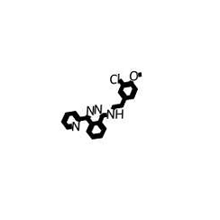 COc1ccc(CCNc2nnc(-c3ccccn3)c3ccccc23)cc1Cl